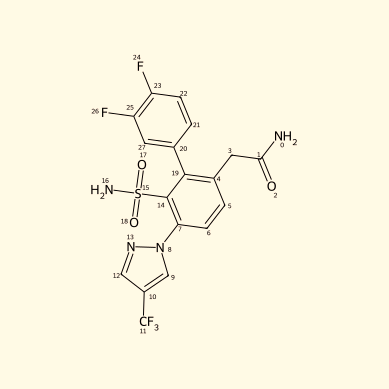 NC(=O)Cc1ccc(-n2cc(C(F)(F)F)cn2)c(S(N)(=O)=O)c1-c1ccc(F)c(F)c1